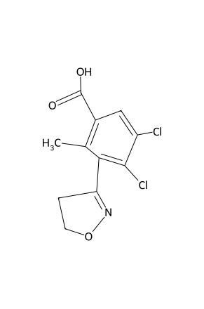 Cc1c(C(=O)O)cc(Cl)c(Cl)c1C1=NOCC1